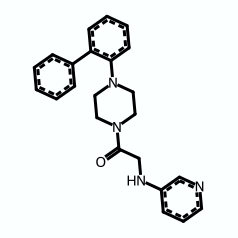 O=C(CNc1cccnc1)N1CCN(c2ccccc2-c2ccccc2)CC1